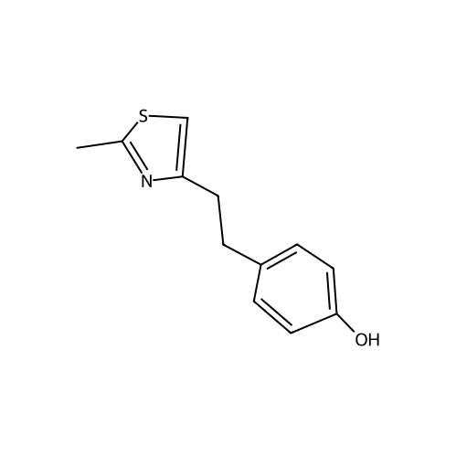 Cc1nc(CCc2ccc(O)cc2)cs1